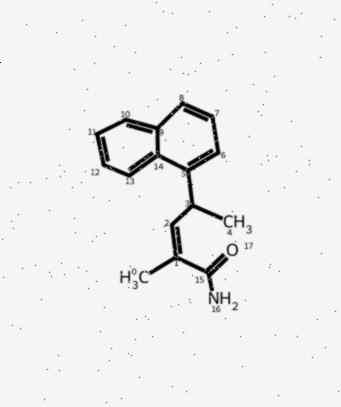 CC(=CC(C)c1cccc2ccccc12)C(N)=O